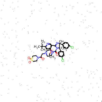 CCOc1cc(C(C)(C)C)ncc1C1=N[C@@](C)(c2ccc(Cl)cc2)[C@@](C)(c2ccc(Cl)cc2)N1C(=O)N1CCN(CC(=O)N2CCS(=O)(=O)CC2)CC1